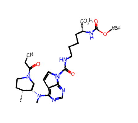 C[C@@H]1CCN(C(=O)CC#N)C[C@@H]1N(C)c1ncnc2c1ccn2C(=O)NCCCC[C@H](NC(=O)OC(C)(C)C)C(=O)O